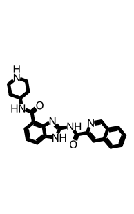 O=C(Nc1nc2c(C(=O)NC3CCNCC3)cccc2[nH]1)c1cc2ccccc2cn1